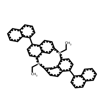 CCn1c2ccc3c(-c4cccc5ccccc45)ccc(c3c2)n(CC)c2ccc3c(-c4cccc5ccccc45)ccc1c3c2